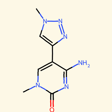 Cn1cc(-c2cn(C)c(=O)nc2N)nn1